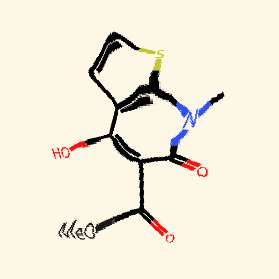 COC(=O)c1c(O)c2ccsc2n(C)c1=O